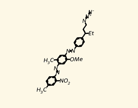 CCC(CCN=[N+]=[N-])c1ccc(/N=N/c2cc(C)c(/N=N/c3ccc(C)cc3[N+](=O)[O-])cc2OC)cc1